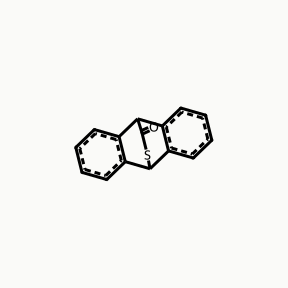 O=C1SC2c3ccccc3C1c1ccccc12